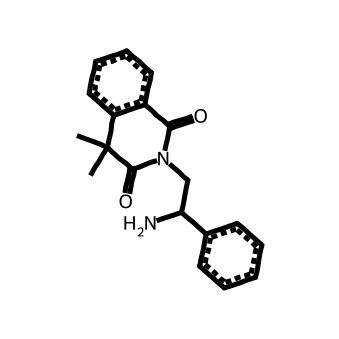 CC1(C)C(=O)N(CC(N)c2ccccc2)C(=O)c2ccccc21